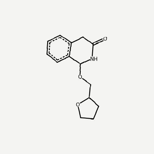 O=C1Cc2ccccc2C(OCC2CCCO2)N1